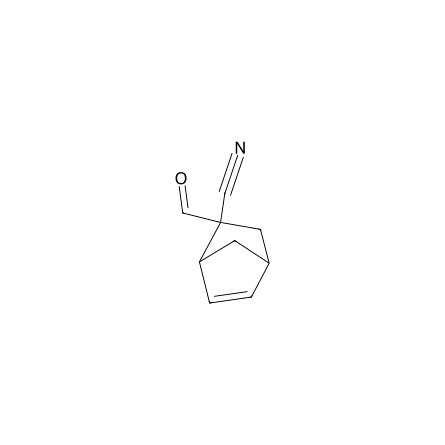 N#CC1(C=O)CC2C=CC1C2